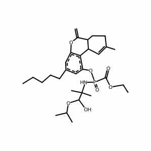 C=C1Oc2cc(CCCCC)cc(OP(=O)(NC(C)(C)C(O)OC(C)C)C(=O)OCC)c2C2C=C(C)CCC12